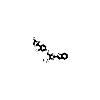 Cc1nc(-c2cc3ccccc3s2)sc1COc1ccc(C2=NCC(=O)N2)c(Cl)c1